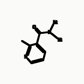 CCN(CC)C(=O)c1cccnc1C